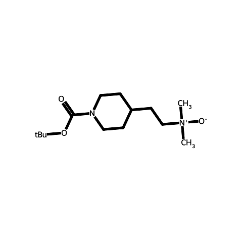 CC(C)(C)OC(=O)N1CCC(CC[N+](C)(C)[O-])CC1